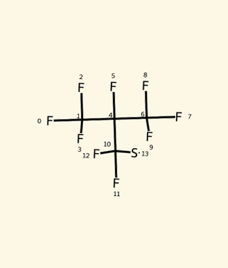 FC(F)(F)C(F)(C(F)(F)F)C(F)(F)[S]